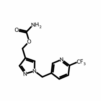 NC(=O)OCc1cnn(Cc2ccc(C(F)(F)F)nc2)c1